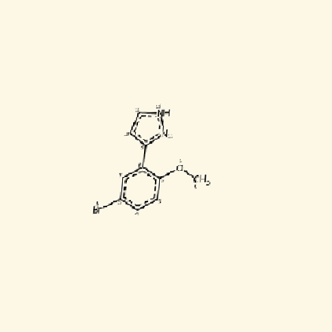 COc1ccc(Br)cc1-c1cc[nH]n1